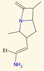 C=C1C(C)C2CC(/C=C(/N)CC)C(C)N12